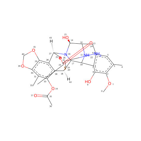 COc1c(C)cc2c(c1O)C1NC(C2)[C@H](O)N2C1[C@@H]1SCC(N)C(=O)OC[C@H]2c2c3c(c(C)c(OC(C)=O)c21)OCO3